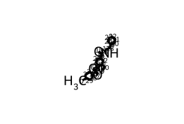 Cc1ccc(S(=O)(=O)n2ccc3cc(C(=O)NCCc4ccccc4)ccc32)cc1